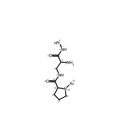 CCCNC(=O)C(N)CNC(=O)C1CCCN1C(C)=O